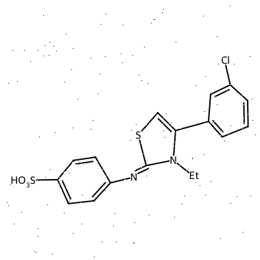 CCn1c(-c2cccc(Cl)c2)csc1=Nc1ccc(S(=O)(=O)O)cc1